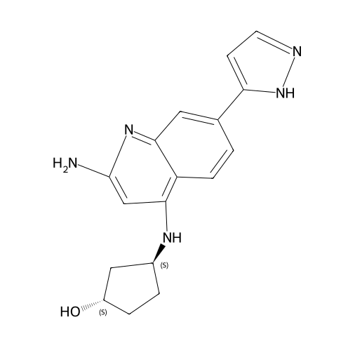 Nc1cc(N[C@H]2CC[C@H](O)C2)c2ccc(-c3ccn[nH]3)cc2n1